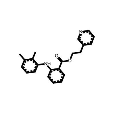 Cc1cccc(Nc2ccccc2C(=O)OCCc2cccnc2)c1C